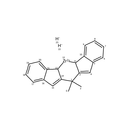 CC1(C)C2=Cc3ccccc3[CH]2[Zr+2][CH]2C1=Cc1ccccc12.[H-].[H-]